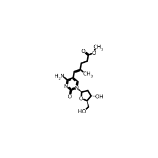 COC(=O)CC/C(C)=C/c1cn([C@H]2C[C@H](O)[C@@H](CO)O2)c(=O)nc1N